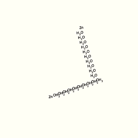 O.O.O.O.O.O.O.O.O.O.O.O.O.O.O.O.O.O.O.O.[Zn].[Zn]